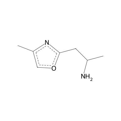 Cc1coc(CC(C)N)n1